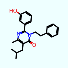 Cc1nc(-c2cccc(O)c2)n(CCc2ccccc2)c(=O)c1CC(C)C